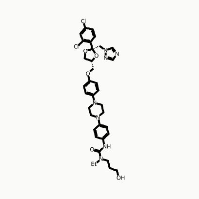 CCN(CCCO)C(=O)Nc1ccc(N2CCN(c3ccc(OC[C@@H]4CO[C@@](Cn5cncn5)(c5ccc(Cl)cc5Cl)O4)cc3)CC2)cc1